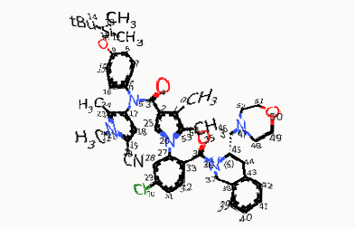 Cc1c(C(=O)N(c2ccc(O[Si](C)(C)C(C)(C)C)cc2)c2cc(C#N)n(C)c2C)cn(-c2cc(Cl)ccc2C(=O)N2Cc3ccccc3C[C@H]2CN2CCOCC2)c1C